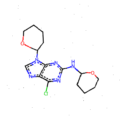 Clc1nc(NC2CCCCO2)nc2c1ncn2C1CCCCO1